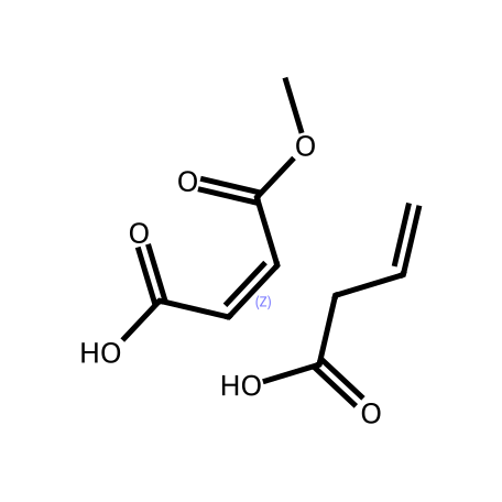 C=CCC(=O)O.COC(=O)/C=C\C(=O)O